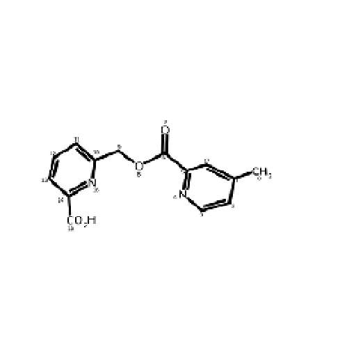 Cc1ccnc(C(=O)OCc2cccc(C(=O)O)n2)c1